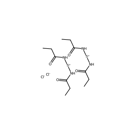 CCC(=O)[NH][Ti+][NH]C(=O)CC.CCC(=O)[NH][Ti+][NH]C(=O)CC.[Cl-].[Cl-]